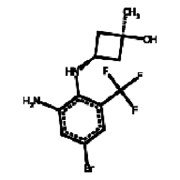 C[C@]1(O)C[C@@H](Nc2c(N)cc(Br)cc2C(F)(F)F)C1